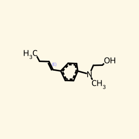 CC/C=C/c1ccc(N(C)CCO)cc1